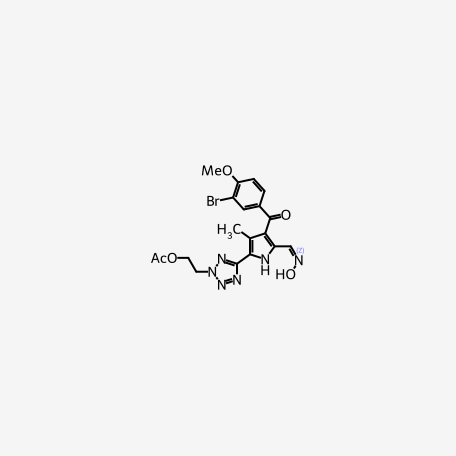 COc1ccc(C(=O)c2c(/C=N\O)[nH]c(-c3nnn(CCOC(C)=O)n3)c2C)cc1Br